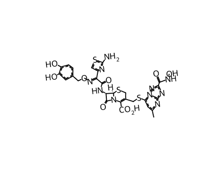 Cc1cc(SCC2=C(C(=O)O)N3C(=O)[C@@H](NC(=O)C(=NOCc4ccc(O)c(O)c4)c4csc(N)n4)[C@H]3SC2)n2nc(C(=O)NO)nc2n1